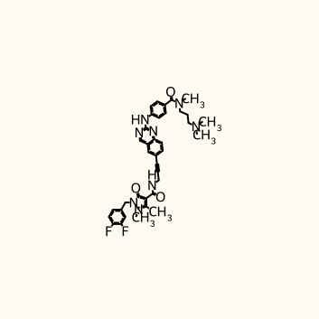 Cc1c(C(=O)NCC#Cc2ccc3nc(Nc4ccc(C(=O)N(C)CCCN(C)C)cc4)ncc3c2)c(=O)n(Cc2ccc(F)c(F)c2)n1C